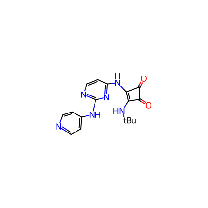 CC(C)(C)Nc1c(Nc2ccnc(Nc3ccncc3)n2)c(=O)c1=O